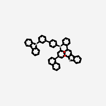 c1cc(-c2cccc3ccccc23)cc(N(c2ccc(-c3cccc(-n4c5ccccc5c5ccccc54)c3)cc2)c2ccccc2-c2ccc3sc4ccccc4c3c2)c1